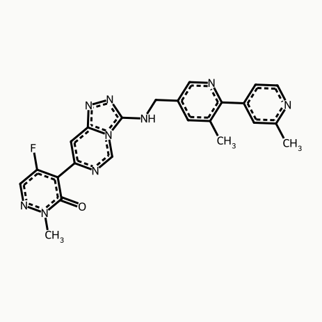 Cc1cc(-c2ncc(CNc3nnc4cc(-c5c(F)cnn(C)c5=O)ncn34)cc2C)ccn1